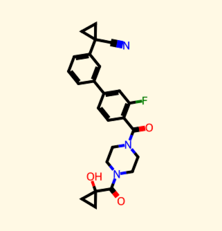 N#CC1(c2cccc(-c3ccc(C(=O)N4CCN(C(=O)C5(O)CC5)CC4)c(F)c3)c2)CC1